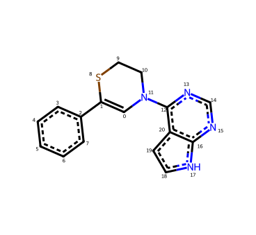 C1=C(c2ccccc2)SCCN1c1ncnc2[nH]ccc12